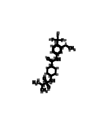 CCc1cc(NC(=O)N2CCC(NS(=O)(=O)C(C)C)CC2)ccc1C(F)(F)F